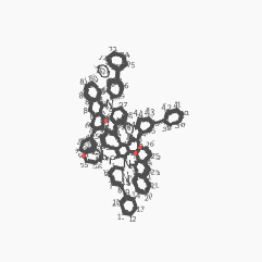 CC(C)c1c(N(c2cccc(-c3ccccc3)n2)c2c3ccccc3cc3ccccc23)c2ccc3c4cc(-c5ccccc5)ccc4oc3c2c2c1c(N1C=CC=CC1)cc1oc3c(N(c4ccc5c(c4)oc4ccccc45)c4c5ccccc5cc5cc(-c6ccccc6)ccc45)cccc3c12